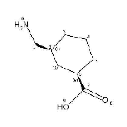 NC[C@H]1CCC[C@@H](C(=O)O)C1